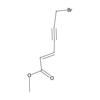 COC(=O)C=CC#CCBr